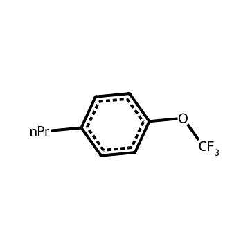 CCCc1ccc(OC(F)(F)F)cc1